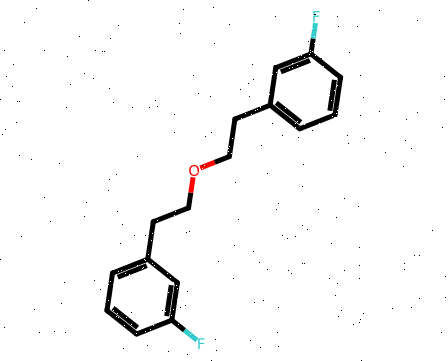 Fc1cccc(CCOCCc2cccc(F)c2)c1